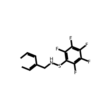 C/C=C\C(=C/C)CNSc1c(F)c(F)c(F)c(F)c1F